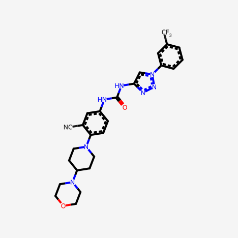 N#Cc1cc(NC(=O)Nc2cn(-c3cccc(C(F)(F)F)c3)nn2)ccc1N1CCC(N2CCOCC2)CC1